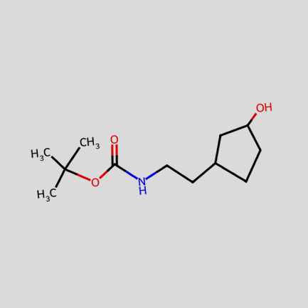 CC(C)(C)OC(=O)NCCC1CCC(O)C1